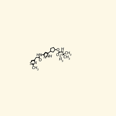 Cc1nc(CC(=O)Nc2cc(C3CCC(OC(=O)NC(C)(C)C)C3)[nH]n2)cs1